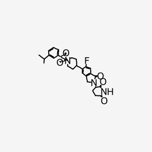 CC(C)c1cccc(S(=O)(=O)N2CCC(c3cc4c(cc3F)C(=O)N(C3CCC(=O)NC3=O)C4)CC2)c1